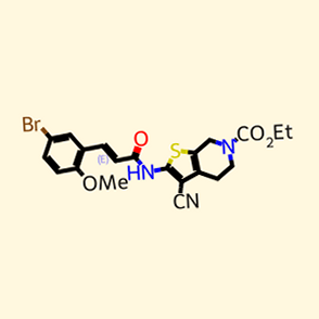 CCOC(=O)N1CCc2c(sc(NC(=O)/C=C/c3cc(Br)ccc3OC)c2C#N)C1